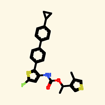 Cc1cscc1C(C)OC(=O)Nc1cc(F)sc1-c1ccc(-c2ccc(C3CC3)cc2)cc1